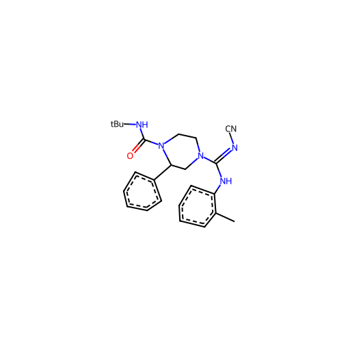 Cc1ccccc1N/C(=N/C#N)N1CCN(C(=O)NC(C)(C)C)C(c2ccccc2)C1